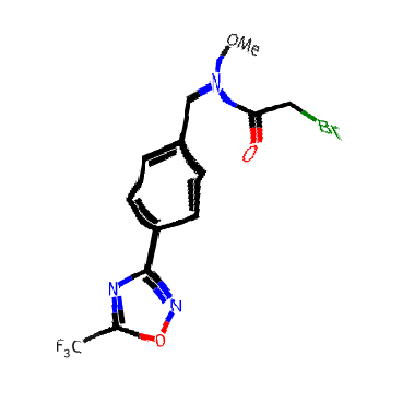 CON(Cc1ccc(-c2noc(C(F)(F)F)n2)cc1)C(=O)CBr